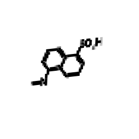 C=Nc1cccc2c(S(=O)(=O)O)cccc12